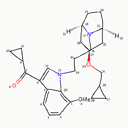 COc1cccc2c(C(=O)C3CC3)cn(CCCN3[C@@H]4CC[C@H]3C[C@@H](OCC3CC3)C4)c12